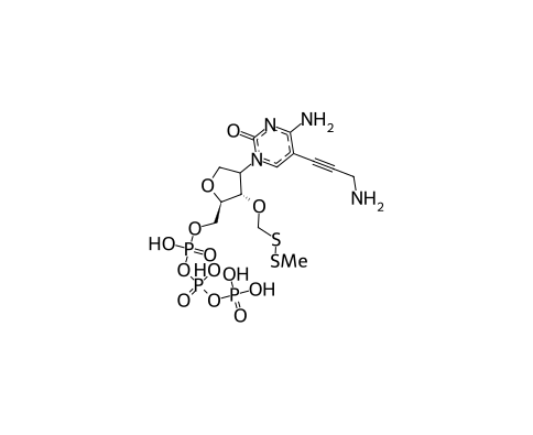 CSSCO[C@H]1C(n2cc(C#CCN)c(N)nc2=O)CO[C@@H]1COP(=O)(O)OP(=O)(O)OP(=O)(O)O